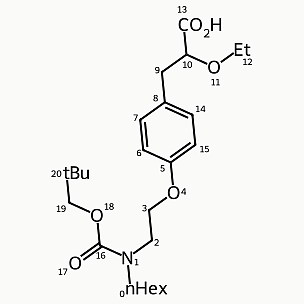 CCCCCCN(CCOc1ccc(CC(OCC)C(=O)O)cc1)C(=O)OCC(C)(C)C